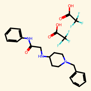 O=C(CNC1CCN(Cc2ccccc2)CC1)Nc1ccccc1.O=C(O)C(F)(F)F.O=C(O)C(F)(F)F